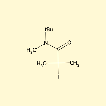 CN(C(=O)C(C)(C)I)C(C)(C)C